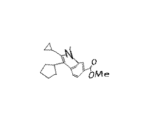 COC(=O)c1ccc2c(C3CCCC3)c(C3CC3)n(C)c2c1